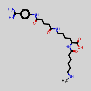 CNCCCCCC(=O)NC(CCCCNC(=O)CCCC(=O)Nc1ccc(C(=N)N)cc1)C(=O)O